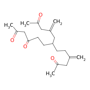 C=C(CCC(CCC(=O)CC(C)=O)CC(=C)CC(C)=O)CC(C)=O